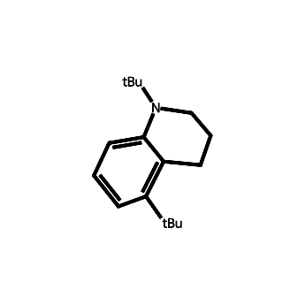 CC(C)(C)c1cccc2c1CCCN2C(C)(C)C